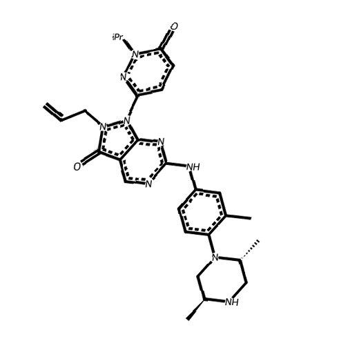 C=CCn1c(=O)c2cnc(Nc3ccc(N4C[C@H](C)NC[C@H]4C)c(C)c3)nc2n1-c1ccc(=O)n(C(C)C)n1